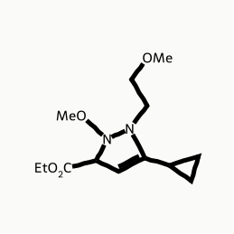 CCOC(=O)C1C=C(C2CC2)N(CCOC)N1OC